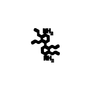 C=CCc1c(N)ccc(-c2ccc(N)c(CC=C)c2CC=C)c1CC=C